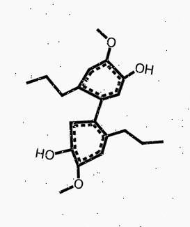 CCCc1cc(OC)c(O)cc1-c1cc(O)c(OC)cc1CCC